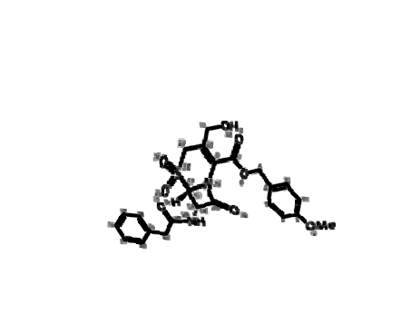 COc1ccc(COC(=O)C2=C(CO)CS(=O)(=O)[C@H]3[C@@H](NC(=O)Cc4ccccc4)C(=O)N23)cc1